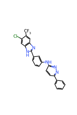 FC(F)(F)c1cc2nc(-c3cccc(Nc4ccc(-c5ccccc5)nn4)c3)[nH]c2cc1Cl